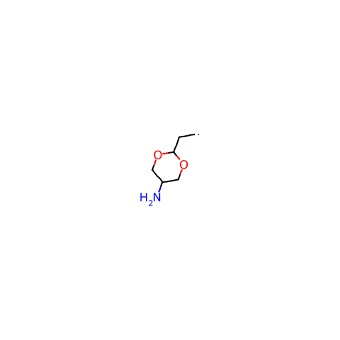 [CH2]CC1OCC(N)CO1